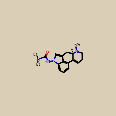 CCCN1CCC=C2c3cccc4c3c(cn4NC(=O)N(CC)CC)C[C@H]21